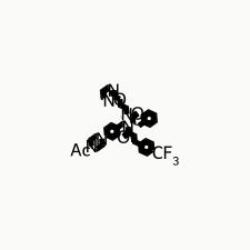 CC(=O)N1CCN(c2ccc(CN(C(=O)C=Cc3ccc(C(F)(F)F)cc3)[C@@H](Cc3ccccc3)C(=O)N(C)CCOc3ncccn3)cc2)CC1